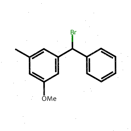 COc1cc(C)cc(C(Br)c2ccccc2)c1